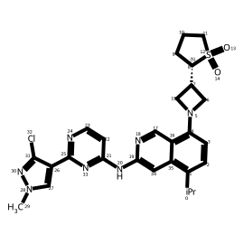 CC(C)c1ccc(N2CC([C@@H]3CCCS3(=O)=O)C2)c2cnc(Nc3ccnc(-c4cn(C)nc4Cl)n3)cc12